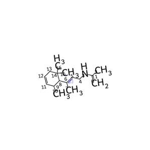 C=C(C)NC/C=C(\C)C1C(C)C=CCC1(C)C